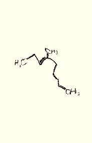 C=CCCCC(C)=CCC